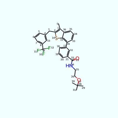 Cc1c(Cc2cccc(C(F)(F)F)c2)sc2c(-c3cccc(C(=O)NCCOC(C)(C)C)c3)cccc12